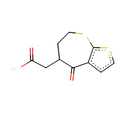 O=C(O)CC1CCSc2sccc2C1=O